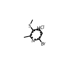 CSc1ccc(Br)nc1C.Cl